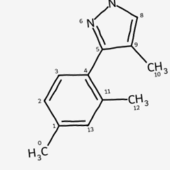 Cc1ccc(-c2n[nH]cc2C)c(C)c1